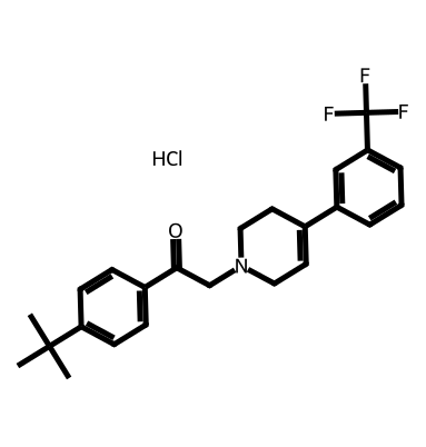 CC(C)(C)c1ccc(C(=O)CN2CC=C(c3cccc(C(F)(F)F)c3)CC2)cc1.Cl